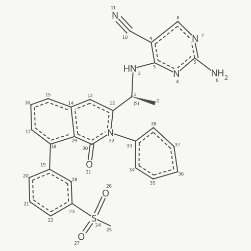 C[C@H](Nc1nc(N)ncc1C#N)c1cc2cccc(-c3cccc(S(C)(=O)=O)c3)c2c(=O)n1-c1ccccc1